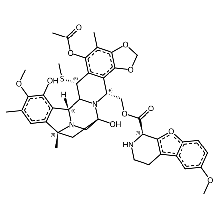 COc1ccc2oc3c(c2c1)CCN[C@H]3C(=O)OC[C@H]1c2c3c(c(C)c(OC(C)=O)c2[C@@H](SC)C2[C@H]4c5c(cc(C)c(OC)c5O)[C@@]5(C)CC(O)(CN45)N21)OCO3